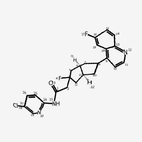 O=C(CC1(F)C[C@H]2CC(c3ccnc4ccc(F)cc34)C[C@H]2C1)Nc1ccc(Cl)cn1